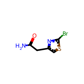 NC(=O)Cc1csc(Br)n1